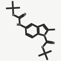 Cc1cc2cc(NC(=O)OC(C)(C)C)ccc2n1C(=O)OC(C)(C)C